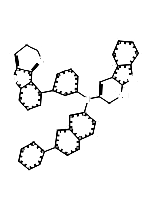 C1=C(N(c2cccc(-c3cccc4oc5c(c34)=NCCC=5)c2)c2ccc3ccc(-c4ccccc4)cc3c2)CNc2oc3ccccc3c21